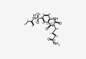 C=C(CC)NS(=O)(=O)c1ccc2[nH]c(=O)n(C/C=C/C(N)=O)c(=O)c2c1